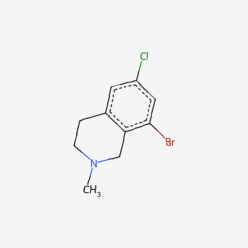 CN1CCc2cc(Cl)cc(Br)c2C1